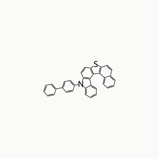 c1ccc(-c2ccc(-n3c4ccccc4c4c5c(ccc43)sc3ccc4ccccc4c35)cc2)cc1